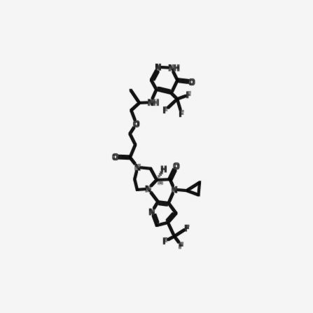 CC(COCCC(=O)N1CCN2c3ncc(C(F)(F)F)cc3N(C3CC3)C(=O)[C@@H]2C1)Nc1cn[nH]c(=O)c1C(F)(F)F